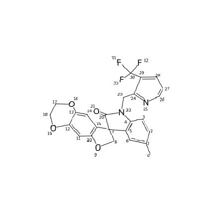 Cc1ccc2c(c1)C1(COc3cc4c(cc31)OCCO4)C(=O)N2Cc1ncccc1C(F)(F)F